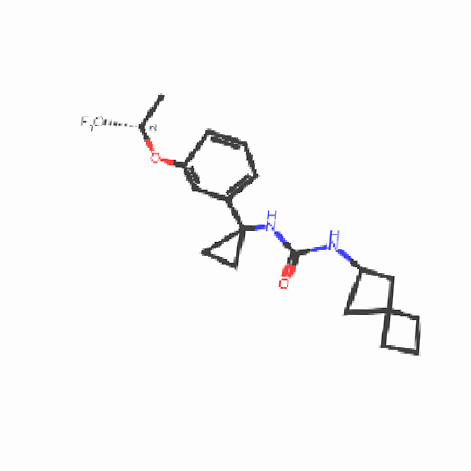 C[C@H](Oc1cccc(C2(NC(=O)NC3CC4(CCC4)C3)CC2)c1)C(F)(F)F